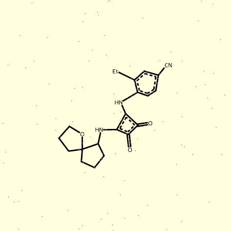 CCc1cc(C#N)ccc1Nc1c(NC2CCCC23CCCO3)c(=O)c1=O